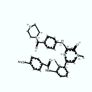 CSc1ccc(C(=O)Nc2cccc(-c3cn(C)c(=O)c(Nc4ccc(C(=O)N5CCOCC5)cc4)n3)c2C)cc1